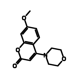 COc1ccc2c(N3CCOCC3)cc(=O)oc2c1